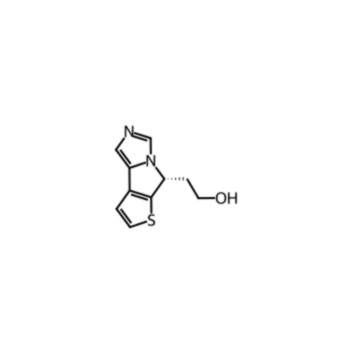 OCC[C@@H]1c2sccc2-c2cncn21